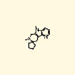 CN1Cc2c(c3ncccc3n2C)CC12CCCC2